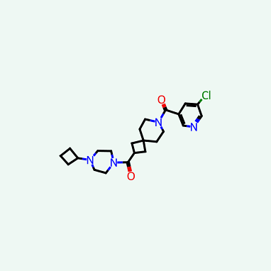 O=C(c1cncc(Cl)c1)N1CCC2(CC1)CC(C(=O)N1CCN(C3CCC3)CC1)C2